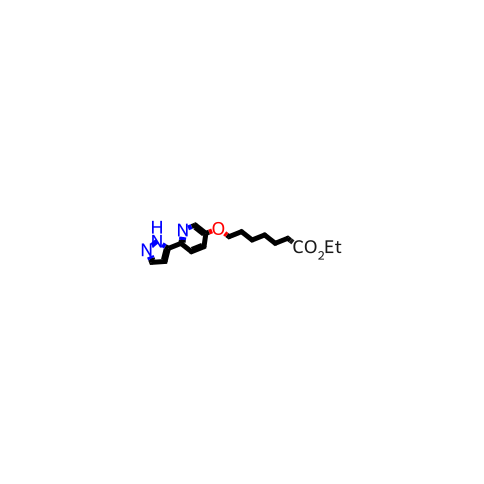 CCOC(=O)CCCCCCOc1ccc(-c2ccn[nH]2)nc1